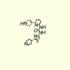 O=C(Nc1cccc(C2=CCNCC2)n1)Nc1csc(-c2ccncc2)n1